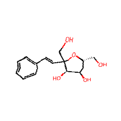 OC[C@H]1OC(C=Cc2ccccc2)(CO)[C@H](O)[C@@H]1O